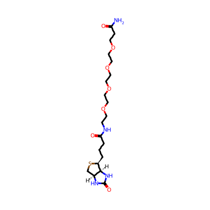 NC(=O)CCOCCOCCOCCOCCNC(=O)CCC[C@@H]1SC[C@@H]2NC(=O)N[C@@H]21